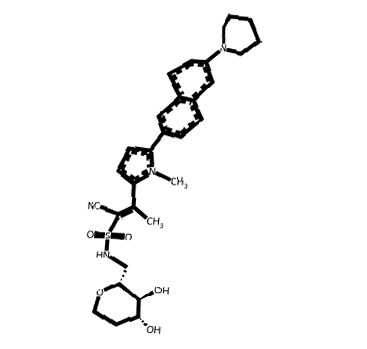 C/C(=C(/C#N)S(=O)(=O)NC[C@H]1OCC[C@@H](O)[C@@H]1O)c1ccc(-c2ccc3cc(N4CCCCC4)ccc3c2)n1C